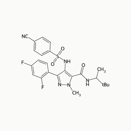 CC(NC(=O)c1c(NS(=O)(=O)c2ccc(C#N)cc2)c(-c2ccc(F)cc2F)nn1C)C(C)(C)C